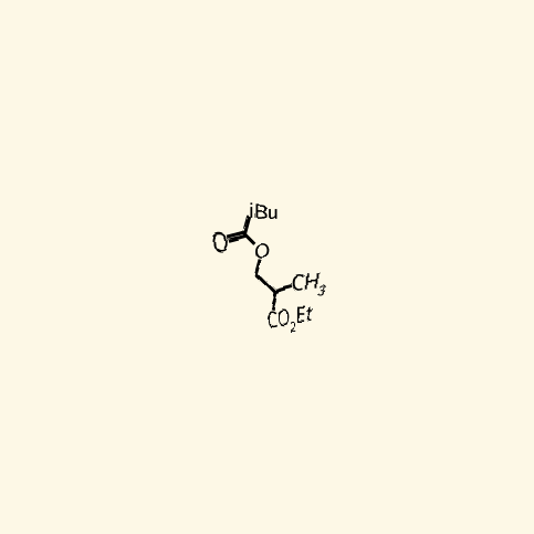 CCOC(=O)C(C)COC(=O)C(C)CC